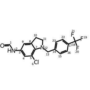 O=CNc1cc(Cl)c2c(c1)CCN2Cc1ccc(C(F)(F)F)cc1